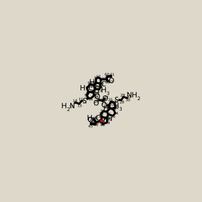 C[C@]12CC[C@@H]3[C@@H](CCC4=CC(SCCCN)CC(OC(=O)C(=O)OC5CC(SCCCN)C=C6CC[C@@H]7[C@@H](CC[C@]8(C)C(c9ccoc9)CC[C@@H]78)[C@]65C)[C@@]43C)[C@@H]1CCC2c1ccoc1